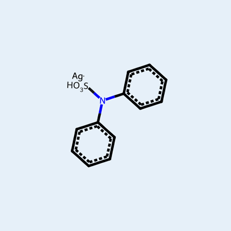 O=S(=O)(O)N(c1ccccc1)c1ccccc1.[Ag]